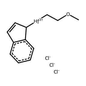 COC[CH2][Hf+3][CH]1C=Cc2ccccc21.[Cl-].[Cl-].[Cl-]